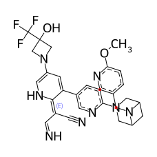 COc1ccc(CN2C3CC2CN(c2ccc(C4=CC(N5CC(O)(C(F)(F)F)C5)=CN/C4=C(/C#N)C=N)cn2)C3)cn1